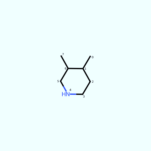 CC1CCNCC1C